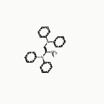 C[SiH2]C(=CN(c1ccccc1)c1ccccc1)N(c1ccccc1)c1ccccc1